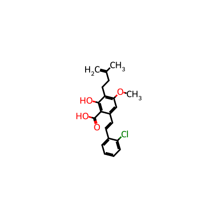 C=C(C)CCc1c(OC)cc(C=Cc2ccccc2Cl)c(C(=O)O)c1O